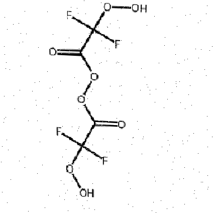 O=C(OOC(=O)C(F)(F)OO)C(F)(F)OO